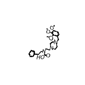 COc1ccc(CN2CCN(CCN(CCc3ccccc3)C(=O)O)CC2)c(OC)c1OC